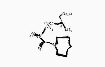 CCN(C)C(=O)N1CCCCC1.C[C@H](N)C(=O)O